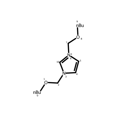 CCCCOCn1cc[n+](COCCCC)c1